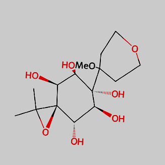 COC1([C@]2(O)[C@H](O)[C@H](O)[C@]3(OC3(C)C)[C@@H](O)[C@@H]2O)CCOCC1